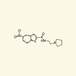 O=C(NCCN1CCCC1)c1cc2cc([N+](=O)[O-])ccc2s1